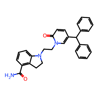 NC(=O)c1cccc2c1CCN2CCn1cc(C(c2ccccc2)c2ccccc2)ccc1=O